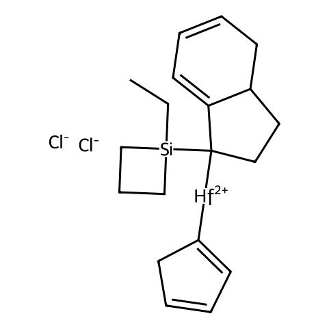 CC[Si]1([C]2([Hf+2][C]3=CC=CC3)CCC3CC=CC=C32)CCC1.[Cl-].[Cl-]